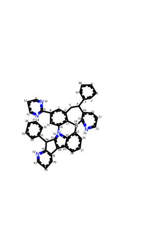 c1ccc(C2Cc3cc(-c4ncccn4)cc4c3B(c3ncccc32)c2cccc3c5c(n-4c23)C(c2ccccc2)c2ncccc2-5)cc1